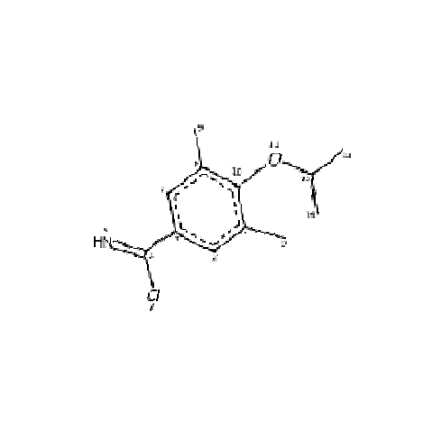 Cc1cc(C(=N)Cl)cc(C)c1OC(C)C